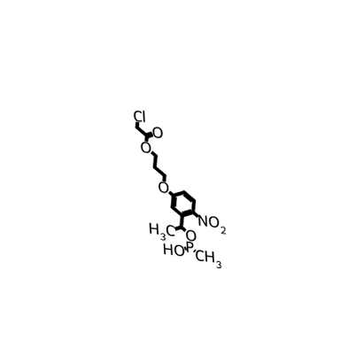 CC(OP(C)O)c1cc(OCCCOC(=O)CCl)ccc1[N+](=O)[O-]